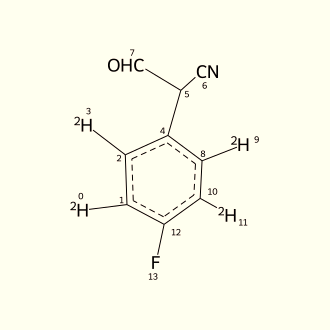 [2H]c1c([2H])c(C(C#N)C=O)c([2H])c([2H])c1F